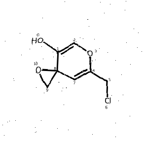 OC1=COC(CCl)=CC12CO2